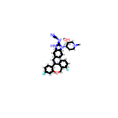 CN1CC[C@@H](n2/c(=N/C#N)[nH]c3cc(/C=C4/c5ccc(F)cc5OCc5c(F)cccc54)ccc32)[C@H](O)C1